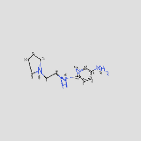 Nc1ccc(NCCN2CCCC2)nc1